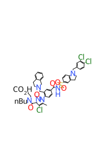 CCCCN(CCC(=O)O)C(=O)c1nn(-c2ccc(C(=O)NS(=O)(=O)c3ccc4c(c3)CCN4Cc3ccc(Cl)c(Cl)c3)cc2C(=O)N2CCc3ccccc3C2)c(C)c1Cl